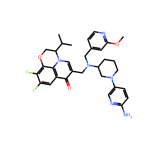 COc1cc(CN(Cc2cn3c4c(c(F)c(F)cc4c2=O)OCC3C(C)C)C2CCCN(c3ccc(N)nc3)C2)ccn1